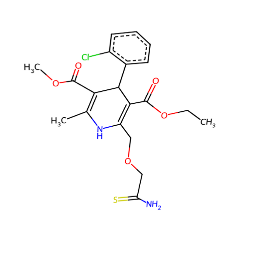 CCOC(=O)C1=C(COCC(N)=S)NC(C)=C(C(=O)OC)C1c1ccccc1Cl